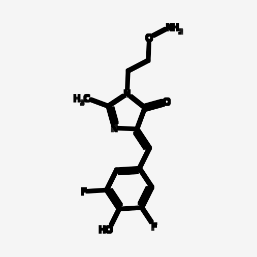 CC1=N/C(=C\c2cc(F)c(O)c(F)c2)C(=O)N1CCON